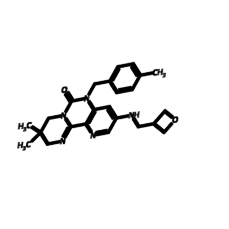 Cc1ccc(CN2C(=O)N3CC(C)(C)CN=C3c3ncc(NCC4COC4)cc32)cc1